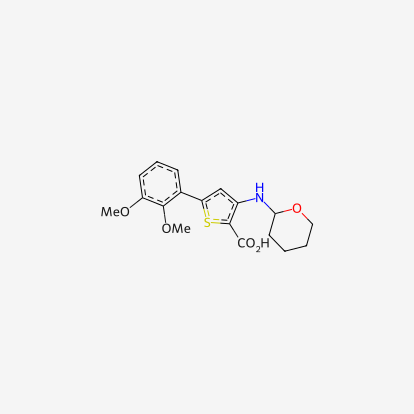 COc1cccc(-c2cc(NC3CCCCO3)c(C(=O)O)s2)c1OC